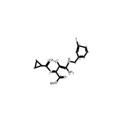 C=C(/N=C(C(=O)OC)\C(Cl)=C(/N)NCc1cccc(I)c1)C1CC1